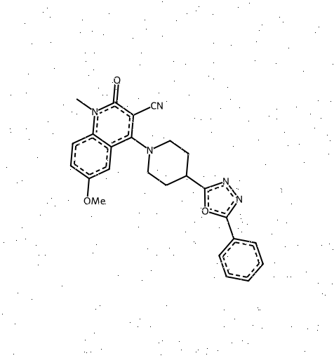 COc1ccc2c(c1)c(N1CCC(c3nnc(-c4ccccc4)o3)CC1)c(C#N)c(=O)n2C